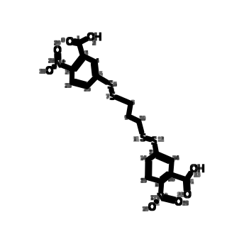 O=C(O)c1cc(SSCCCSSc2ccc([N+](=O)[O-])c(C(=O)O)c2)ccc1[N+](=O)[O-]